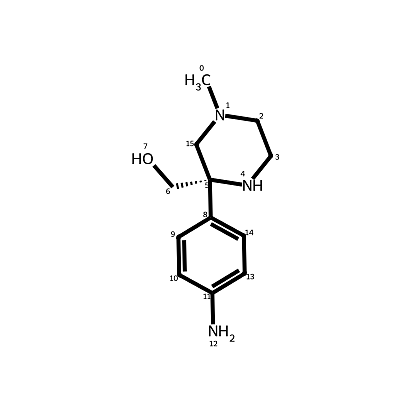 CN1CCN[C@@](CO)(c2ccc(N)cc2)C1